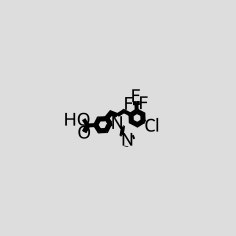 CN(C)CCn1c(Cc2ccc(Cl)cc2C(F)(F)F)cc2cc(C(=O)O)ccc21